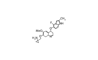 COC1=C(OCC2(N)CC2)CC2N=CCC(Oc3ccc4[nH]c(C)cc4c3F)C2=C1